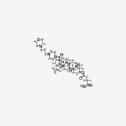 CC(C)(CC(=O)O[C@H]1CC[C@]2(C)[C@H]3CC[C@@H]4[C@H]5[C@H](C6(C)CC6)CC[C@]5(C(=O)N5CCN(CCCN6CCOCC6)CC5)CC[C@@]4(C)[C@]3(C)CC[C@H]2C1(C)C)C(=O)O